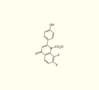 CCOC(=O)n1c(-c2ccc(O)cc2)cc(=O)c2ccc(F)c(F)c21